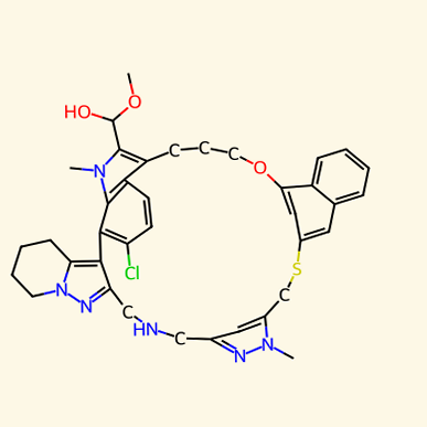 COC(O)c1c2c3ccc(Cl)c(c3n1C)-c1c(nn3c1CCCC3)CNCc1cc(n(C)n1)CSc1cc(c3ccccc3c1)OCCC2